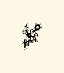 CCOC(=O)c1nn2c(c1OCc1ccccc1)C(=O)N(C)CC2c1nc(C)cs1